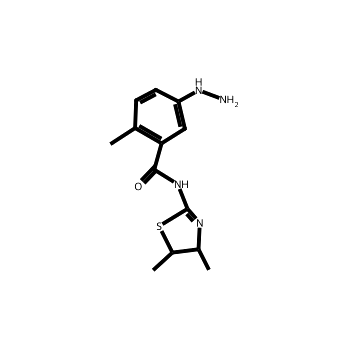 Cc1ccc(NN)cc1C(=O)NC1=NC(C)C(C)S1